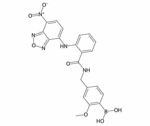 COc1cc(CNC(=O)c2ccccc2Nc2ccc([N+](=O)[O-])c3nonc23)ccc1B(O)O